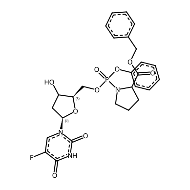 O=C(OCc1ccccc1)C1CCCN1P(=O)(OC[C@H]1O[C@@H](n2cc(F)c(=O)[nH]c2=O)CC1O)Oc1ccccc1